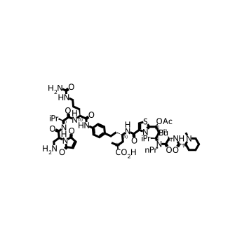 CCCN(C(=O)[C@@H](NC(=O)[C@H]1CCCCN1C)[C@@H](C)CC)[C@H](C[C@@H](OC(C)=O)c1nc(C(=O)N[C@@H](CCc2ccc(NC(=O)[C@H](CCCNC(N)=O)NC(=O)[C@@H](NC(=O)C(CN)N3C(=O)C=CC3=O)C(C)C)cc2)C[C@H](C)C(=O)O)cs1)C(C)C